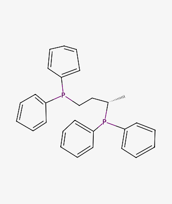 C[C@@H](CCP(c1ccccc1)c1ccccc1)P(c1ccccc1)c1ccccc1